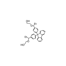 CCC(OCCO)c1ccc(C2(c3ccc(C(CC)OCCO)cc3)c3ccccc3-c3ccccc32)cc1